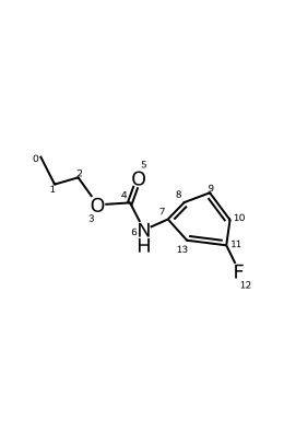 CCCOC(=O)Nc1cccc(F)c1